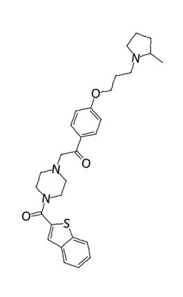 CC1CCCN1CCCOc1ccc(C(=O)CN2CCN(C(=O)c3cc4ccccc4s3)CC2)cc1